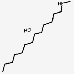 CCCCCCCCCCCCCPC.Cl